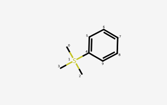 CS(C)(C)c1ccccc1